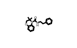 CC1(C)COc2ccccc2N1C(=O)NCCc1ccccc1